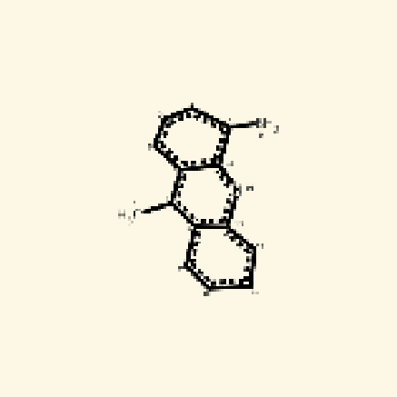 Bc1cccc2c(C)c3ccccc3nc12